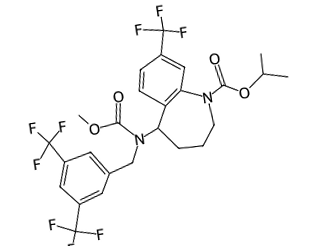 COC(=O)N(Cc1cc(C(F)(F)F)cc(C(F)(F)F)c1)C1CCCN(C(=O)OC(C)C)c2cc(C(F)(F)F)ccc21